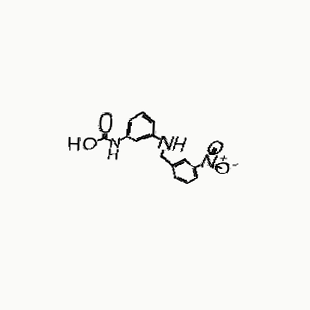 O=C(O)Nc1cccc(NCc2cccc([N+](=O)[O-])c2)c1